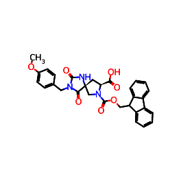 COc1ccc(CN2C(=O)N[C@@]3(C[C@@H](C(=O)O)N(C(=O)OCC4c5ccccc5-c5ccccc54)C3)C2=O)cc1